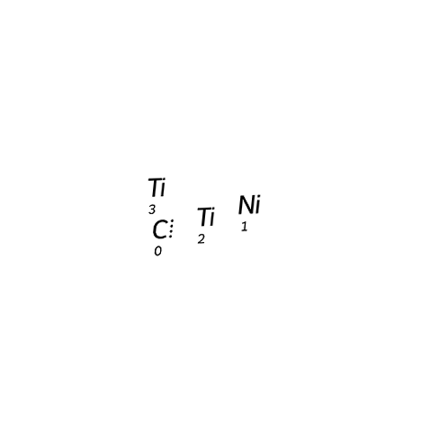 [C].[Ni].[Ti].[Ti]